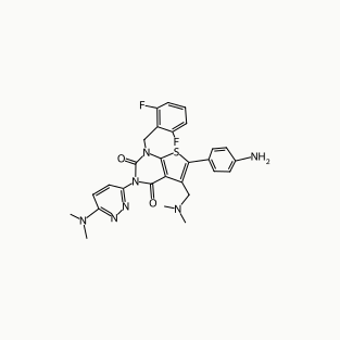 CN(C)Cc1c(-c2ccc(N)cc2)sc2c1c(=O)n(-c1ccc(N(C)C)nn1)c(=O)n2Cc1c(F)cccc1F